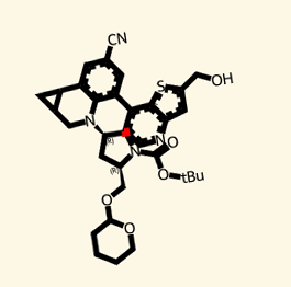 CC(C)(C)OC(=O)N1C[C@H](N2CC3CC3c3cc(C#N)cc(-c4ccnc5cc(CO)sc45)c32)C[C@@H]1COC1CCCCO1